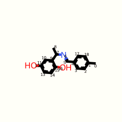 Cc1ccc(C=NC(C)c2cc(O)ccc2O)cc1